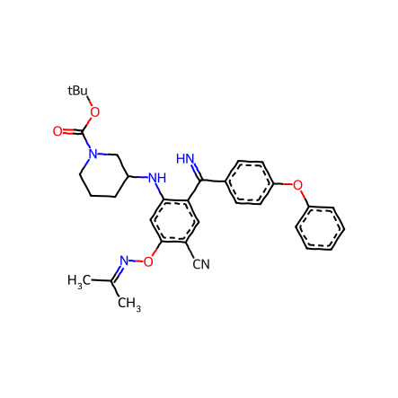 CC(C)=NOc1cc(NC2CCCN(C(=O)OC(C)(C)C)C2)c(C(=N)c2ccc(Oc3ccccc3)cc2)cc1C#N